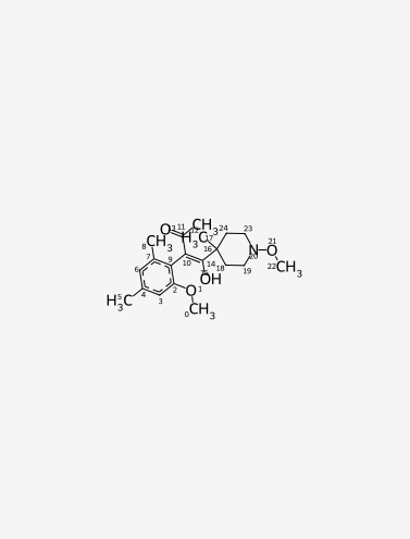 COc1cc(C)cc(C)c1/C(C(C)=O)=C(\O)C1(C)CCN(OC)CC1